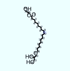 O=C(CCCCCCC/C=C\CCCCCCCCOCC(O)CO)OCCO